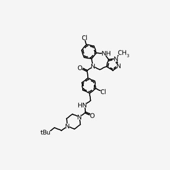 Cn1ncc2c1Nc1cc(Cl)ccc1N(C(=O)c1ccc(CNC(=O)N3CCN(CCC(C)(C)C)CC3)c(Cl)c1)C2